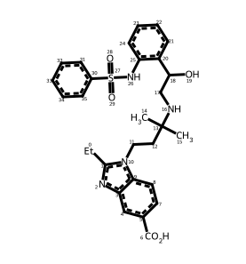 CCc1nc2cc(C(=O)O)ccc2n1CCC(C)(C)NCC(O)c1ccccc1NS(=O)(=O)c1ccccc1